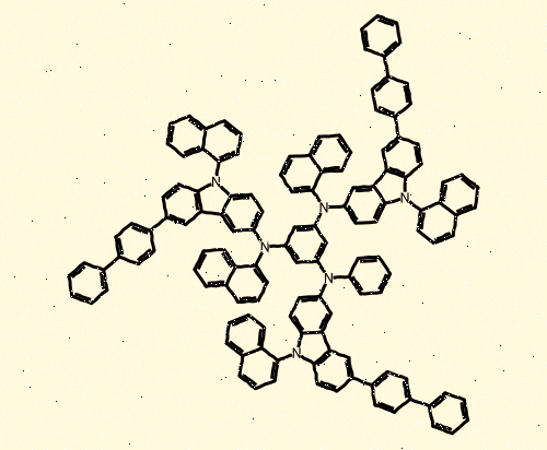 c1ccc(-c2ccc(-c3ccc4c(c3)c3cc(N(c5ccccc5)c5cc(N(c6ccc7c(c6)c6cc(-c8ccc(-c9ccccc9)cc8)ccc6n7-c6cccc7ccccc67)c6cccc7ccccc67)cc(N(c6ccc7c(c6)c6cc(-c8ccc(-c9ccccc9)cc8)ccc6n7-c6cccc7ccccc67)c6cccc7ccccc67)c5)ccc3n4-c3cccc4ccccc34)cc2)cc1